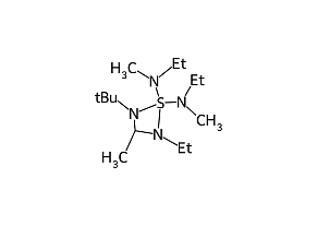 CCN(C)S1(N(C)CC)N(CC)C(C)N1C(C)(C)C